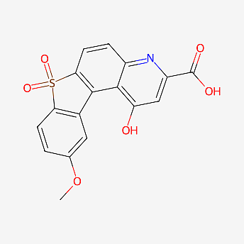 COc1ccc2c(c1)-c1c(ccc3nc(C(=O)O)cc(O)c13)S2(=O)=O